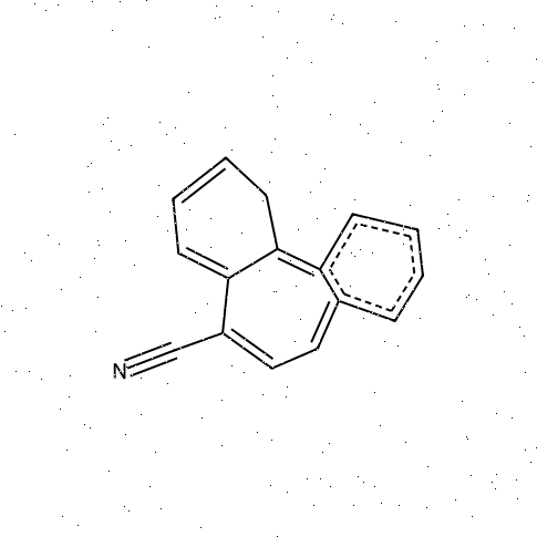 N#CC1=CC=c2ccccc2=C2CC=CC=C12